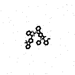 C=Cc1ccccc1-c1c(C)c2cc3c4ccccc4n(-c4nc(-c5ccc6c(c5)C(C)(C)c5ccccc5-6)c5ccccc5n4)c3cc2n1-c1ccccc1